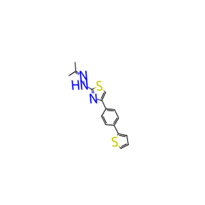 CC(C)=NNc1nc(-c2ccc(-c3cccs3)cc2)cs1